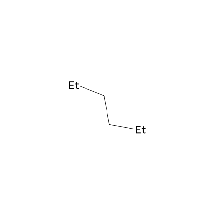 [CH2]CCCC[CH2]